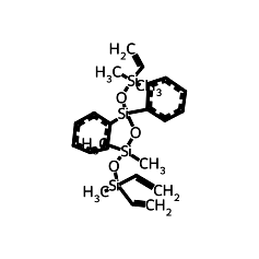 C=C[Si](C)(C)O[Si](O[Si](C)(C)O[Si](C)(C=C)C=C)(c1ccccc1)c1ccccc1